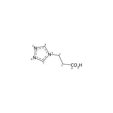 O=C(O)CCn1cnnc1